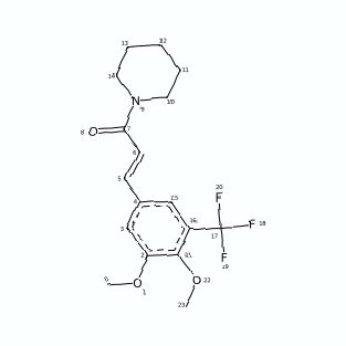 COc1cc(/C=C/C(=O)N2CCCCC2)cc(C(F)(F)F)c1OC